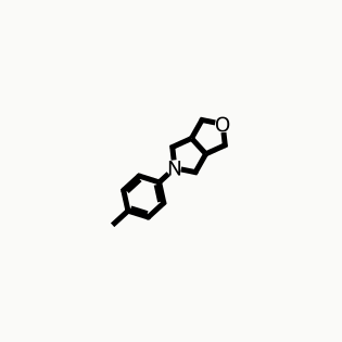 Cc1ccc(N2CC3COCC3C2)cc1